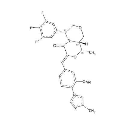 COc1cc(C=C2O[C@@H](C)[C@H]3COC[C@@H](c4cc(F)c(F)c(F)c4)N3C2=O)ccc1-n1cnc(C)c1